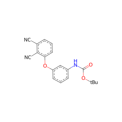 CC(C)(C)OC(=O)Nc1cccc(Oc2cccc(C#N)c2C#N)c1